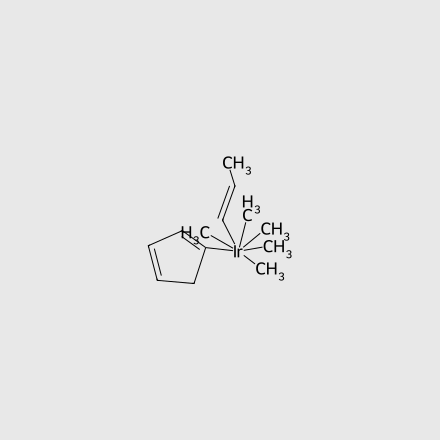 CC=[CH][Ir]([CH3])([CH3])([CH3])([CH3])([CH3])[C]1=CC=CC1